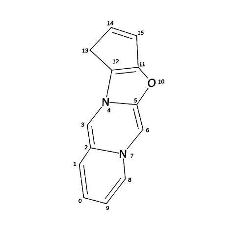 C1=CC2=CN3C(=CN2C=C1)OC1=C3CC=C1